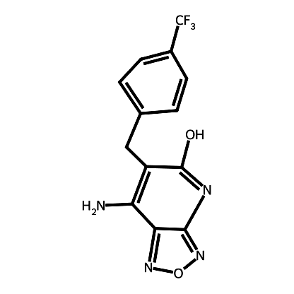 Nc1c(Cc2ccc(C(F)(F)F)cc2)c(O)nc2nonc12